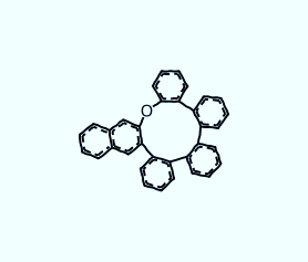 c1ccc2c(c1)Oc1cc3ccccc3cc1-c1ccccc1-c1ccccc1-c1ccccc1-2